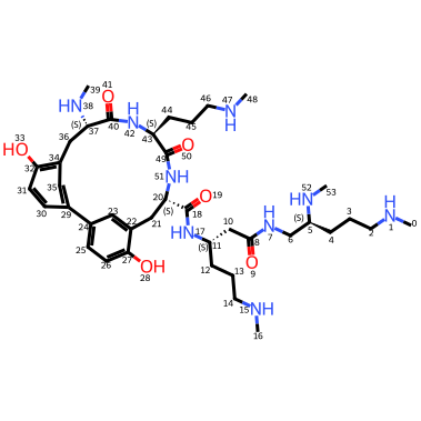 CNCCC[C@@H](CNC(=O)C[C@H](CCCNC)NC(=O)[C@@H]1Cc2cc(ccc2O)-c2ccc(O)c(c2)C[C@H](NC)C(=O)N[C@@H](CCCNC)C(=O)N1)NC